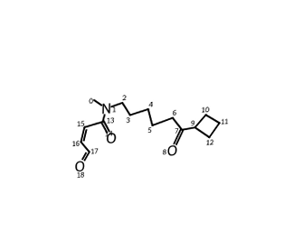 CN(CCCCCC(=O)C1CCC1)C(=O)/C=C\C=O